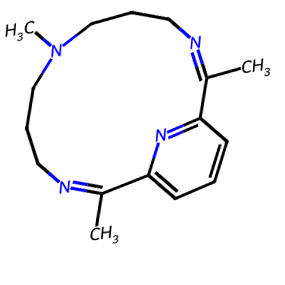 CC1=NCCCN(C)CCCN=C(C)c2cccc1n2